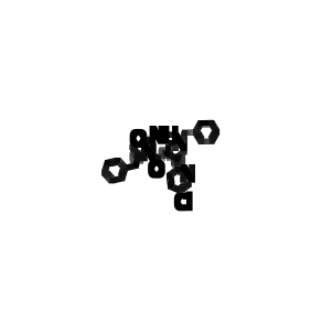 N=C1OC[C@H](Cc2ccccc2)N1C(=O)[C@@H]1CN(Cc2ccccc2)C[C@H]1c1ccc(Cl)cn1